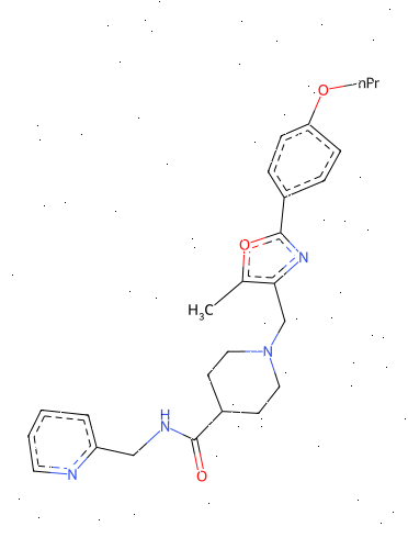 CCCOc1ccc(-c2nc(CN3CCC(C(=O)NCc4ccccn4)CC3)c(C)o2)cc1